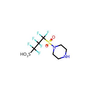 O=S(=O)(O)C(F)(F)C(F)(F)C(F)(F)S(=O)(=O)N1CCNCC1